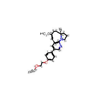 CCCCOCCOc1ccc(-c2cnc3c(c2)/C=C(/C(=O)O)CC[C@@H]2CCCN32)cc1